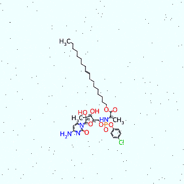 CCCCCCCCC=CCCCCCCCCOC(=O)[C@H](C)NP(=O)(OC[C@H]1O[C@@H](n2ccc(N)nc2=O)[C@](C)(O)[C@@H]1O)Oc1ccc(Cl)cc1